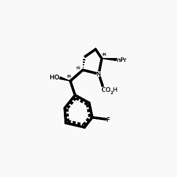 CCC[C@@H]1CC[C@@H]([C@H](O)c2cccc(F)c2)N1C(=O)O